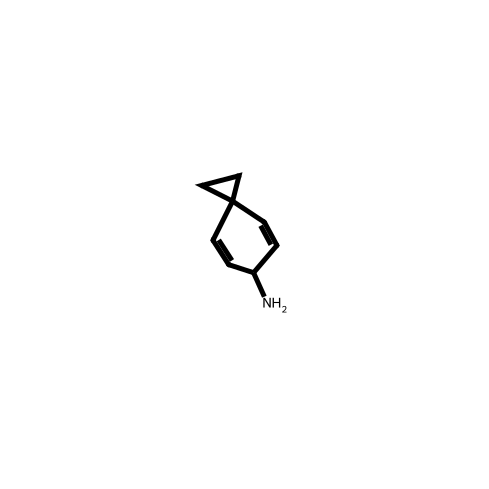 NC1C=CC2(C=C1)CC2